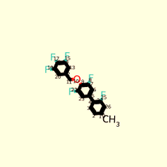 Cc1ccc(-c2cc(F)c(OCc3cc(F)c(F)c(F)c3)c(F)c2)c(F)c1